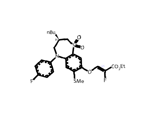 CCCC[C@@H]1CN(c2ccc(F)cc2)c2cc(SC)c(O/C=C(\F)C(=O)OCC)cc2S(=O)(=O)C1